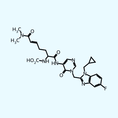 CN(C)C(=O)/C=C/CCC(NC(=O)O)C(=O)Nc1cncn(Cc2nc3cc(F)ccc3n2CC2CC2)c1=O